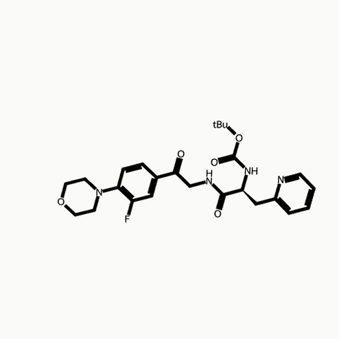 CC(C)(C)OC(=O)N[C@@H](Cc1ccccn1)C(=O)NCC(=O)c1ccc(N2CCOCC2)c(F)c1